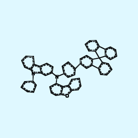 c1ccc(-n2c3ccccc3c3ccc(N(c4ccc(-c5ccc6c(c5)-c5ccccc5C65c6ccccc6-c6ccccc65)cc4)c4cccc5oc6ccccc6c45)cc32)cc1